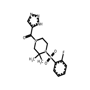 CC1(C)CN(C(=O)c2cnn[nH]2)CCN1S(=O)(=O)c1ccccc1F